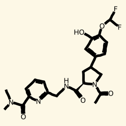 CC(=O)N1CC(c2ccc(OC(F)F)c(O)c2)C[C@@H]1C(=O)NCc1cccc(C(=O)N(C)C)n1